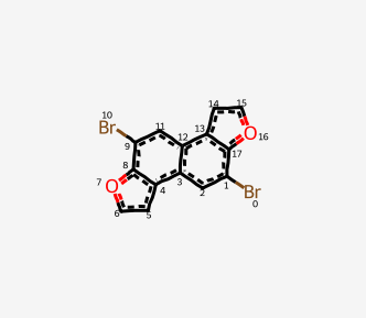 Brc1cc2c3ccoc3c(Br)cc2c2ccoc12